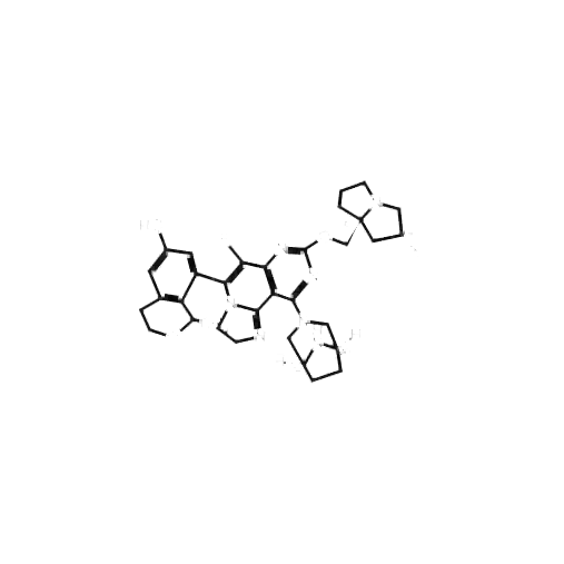 CC1OCCc2cc(O)cc(C3=C(F)c4nc(OC[C@@]56CCCN5C[C@H](F)C6)nc(N5C[C@H]6CC[C@@H](C5)N6)c4C4=NCCN43)c21